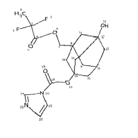 CC(F)(F)C(=O)OCC12CC3CC(O)(C1)CC(OC(=O)n1ccnc1)(C3)C2